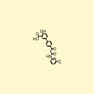 COc1cccc(NC(=O)CC(=O)c2ccc(-c3ccc(O)c(C(=O)O)c3)cc2)n1